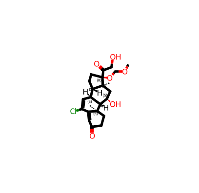 COCO[C@]1(C(=O)CO)CC[C@H]2[C@@H]3C=C(Cl)C4=CC(=O)CC[C@]4(C)[C@H]3[C@@H](O)C[C@@]21C